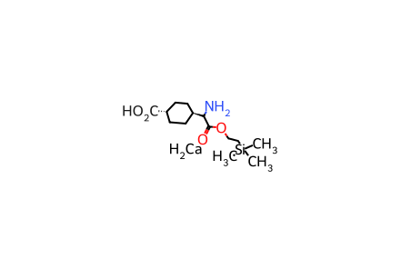 C[Si](C)(C)CCOC(=O)C(N)[C@H]1CC[C@H](C(=O)O)CC1.[CaH2]